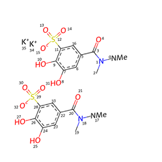 CNN(C)C(=O)c1cc(O)c(O)c(S(=O)(=O)[O-])c1.CNN(C)C(=O)c1cc(O)c(O)c(S(=O)(=O)[O-])c1.[K+].[K+]